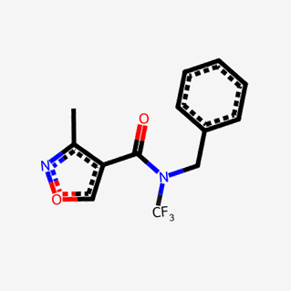 Cc1nocc1C(=O)N(Cc1ccccc1)C(F)(F)F